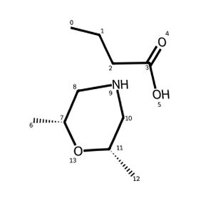 CCCC(=O)O.C[C@@H]1CNC[C@H](C)O1